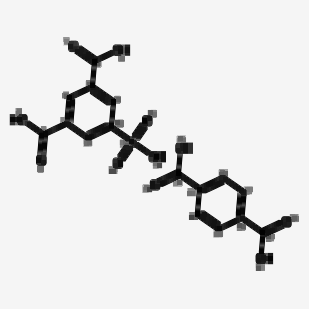 O=C(O)c1cc(C(=O)O)cc(S(=O)(=O)O)c1.O=C(O)c1ccc(C(=O)O)cc1